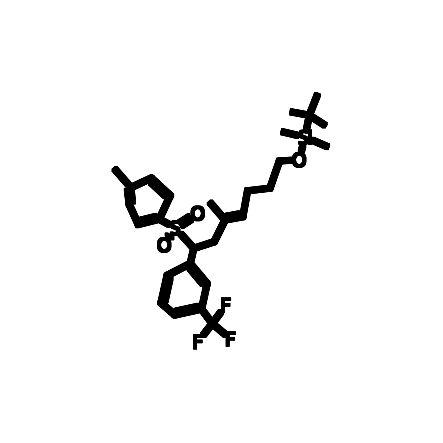 C/C(=C\CCCO[Si](C)(C)C(C)(C)C)CC(c1cccc(C(F)(F)F)c1)S(=O)(=O)c1ccc(C)cc1